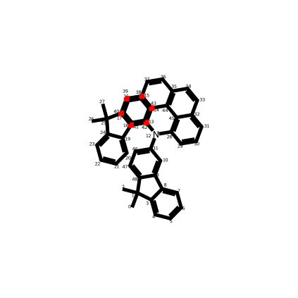 CC1(C)c2ccccc2-c2cc(N(c3cccc4c3-c3ccccc3C4(C)C)c3cccc4ccc5ccc6ccccc6c5c34)ccc21